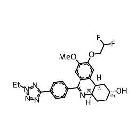 CCn1nnc(-c2ccc(C3=N[C@@H]4CC[C@@H](O)C[C@@H]4c4cc(OCC(F)F)c(OC)cc43)cc2)n1